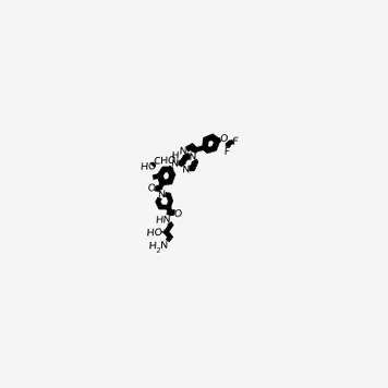 Cc1cc(Nc2nccn3c(-c4ccc(OC(F)F)cc4)cnc23)ccc1C(=O)N1CCC(C(=O)NC[C@@H](O)CN)CC1.O=CO